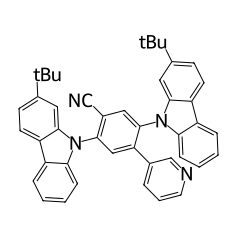 CC(C)(C)c1ccc2c3ccccc3n(-c3cc(-c4cccnc4)c(-n4c5ccccc5c5ccc(C(C)(C)C)cc54)cc3C#N)c2c1